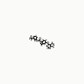 O=C(Nc1cccc(C(F)(F)F)c1)n1ccc2cc(Oc3ncnc4c3CSC4)ccc21